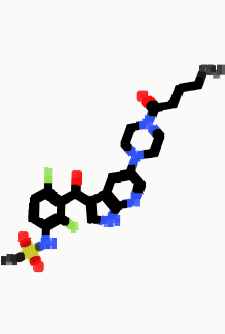 CCCS(=O)(=O)Nc1ccc(F)c(C(=O)c2c[nH]c3ncc(N4CCN(C(=O)CCCC(=O)O)CC4)cc23)c1F